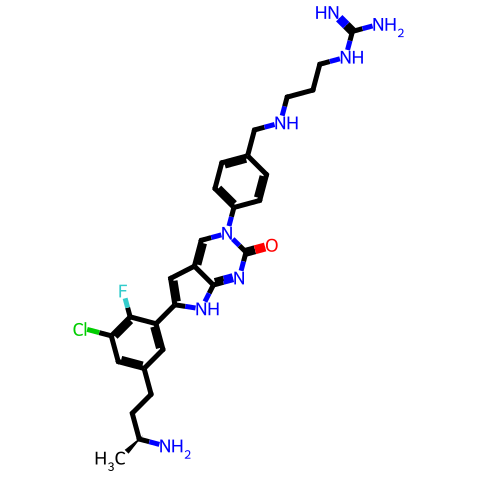 C[C@H](N)CCc1cc(Cl)c(F)c(-c2cc3cn(-c4ccc(CNCCCNC(=N)N)cc4)c(=O)nc3[nH]2)c1